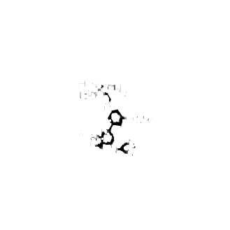 [CH2]C(COc1cc(OC)cc(-c2cc(Nc3cncnc3)c3cnn(C(C)C)c3n2)c1)O[Si](C)(C)C(C)(C)C